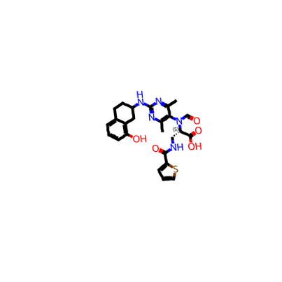 Cc1nc(NC2CCc3cccc(O)c3C2)nc(C)c1N(C=O)[C@@H](CNC(=O)c1cccs1)C(=O)O